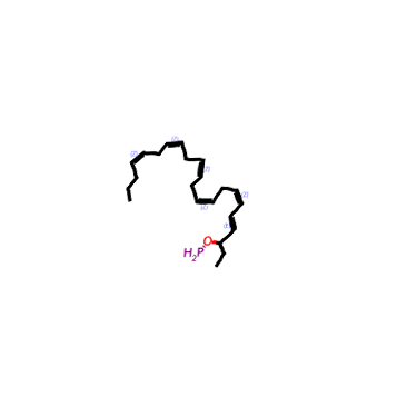 CCC/C=C\C/C=C\C/C=C\C/C=C\C/C=C\C=C\C(CC)OP